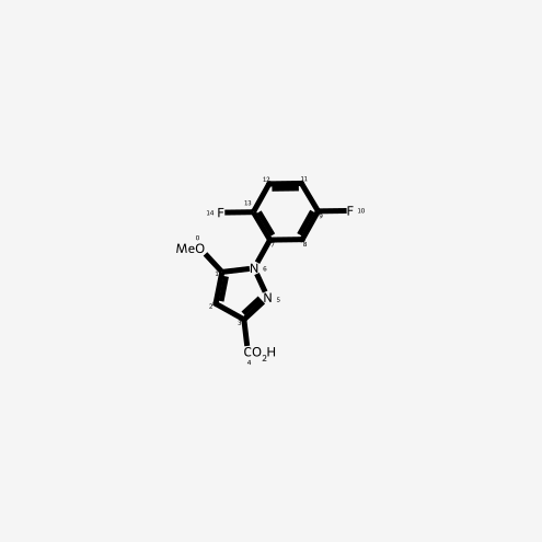 COc1cc(C(=O)O)nn1-c1cc(F)ccc1F